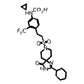 C1CC1.O=C(O)Nc1ccc(CCS(=O)(=O)N2CCC3(CC2)N=C(C2CCCCC2)NC3=O)c(C(F)(F)F)c1